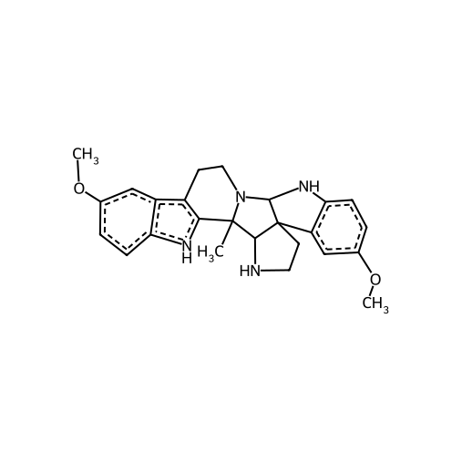 COc1ccc2c(c1)C13CCNC1C1(C)c4[nH]c5ccc(OC)cc5c4CCN1C3N2